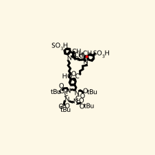 CC(C)(C)OC(=O)CN1CCN(CC(=O)OC(C)(C)C)CCN(CC(=O)OC(C)(C)C)C(Cc2ccc(CC(=O)CCCCCN3/C(=C/C=C/C4=[N+](CCCCCC(=O)O)c5ccc(S(=O)(=O)O)cc5C4(C)C)C(C)(C)c4cc(S(=O)(=O)O)ccc43)cc2)CN(CC(=O)OC(C)(C)C)CC1